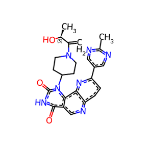 C=C([C@H](C)O)N1CCC(n2c(=O)[nH]c(=O)c3cnc4ccc(-c5cnc(C)nc5)nc4c32)CC1